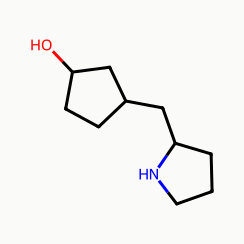 OC1CCC(CC2CCCN2)C1